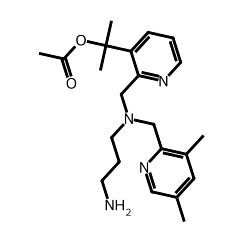 CC(=O)OC(C)(C)c1cccnc1CN(CCCN)Cc1ncc(C)cc1C